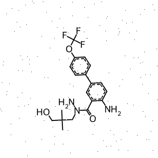 CC(C)(CO)CN(N)C(=O)c1cc(-c2ccc(OC(F)(F)F)cc2)ccc1N